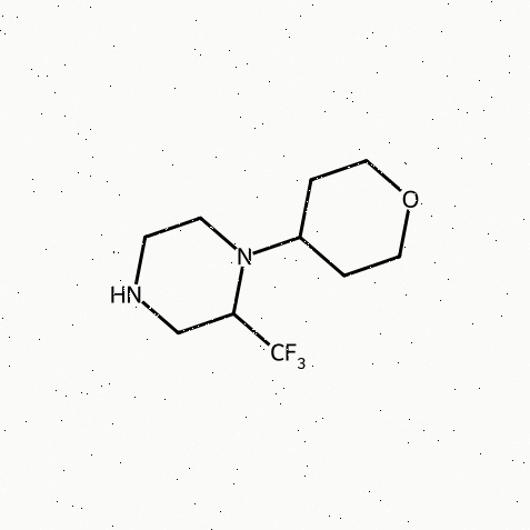 FC(F)(F)C1CNCCN1C1CCOCC1